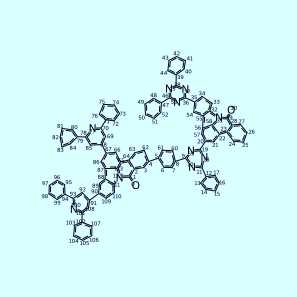 O=c1c2cc(-c3ccc(-c4nc(-c5ccccc5)nc(-c5cc6c7ccccc7c(=O)n7c8ccc(-c9nc(-c%10ccccc%10)nc(-c%10ccccc%10)n9)cc8c(c5)c67)n4)cc3)ccc2c2cc(-c3cc(-c4ccccc4)nc(-c4ccccc4)c3)cc3c4cc(-c5cc(-c6ccccc6)nc(-c6ccccc6)c5)ccc4n1c23